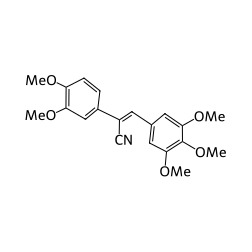 COc1ccc(C(C#N)=Cc2cc(OC)c(OC)c(OC)c2)cc1OC